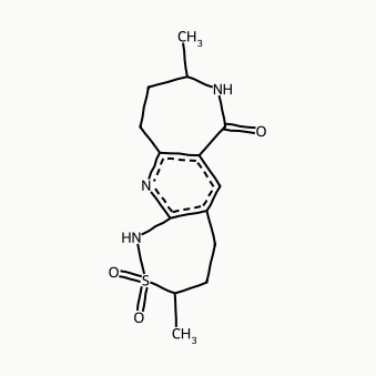 CC1CCc2nc3c(cc2C(=O)N1)CCC(C)S(=O)(=O)N3